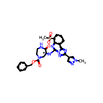 Cn1cc(-c2nc3c4cccc(S(C)(=O)=O)c4nc(N[C@@H]4CN(C(=O)OCc5ccccc5)CCNC4=O)n3n2)cn1